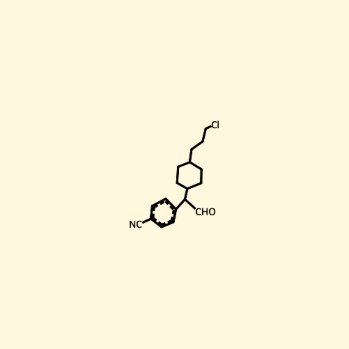 N#Cc1ccc(C(C=O)C2CCC(CCCCl)CC2)cc1